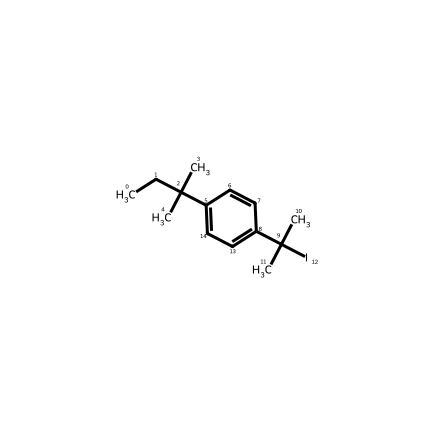 CCC(C)(C)c1ccc(C(C)(C)I)cc1